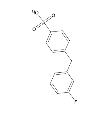 O=S(=O)(O)c1ccc(Cc2cccc(F)c2)cc1